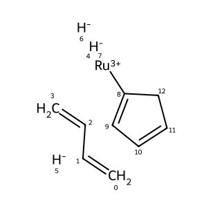 C=CC=C.[H-].[H-].[H-].[Ru+3][C]1=CC=CC1